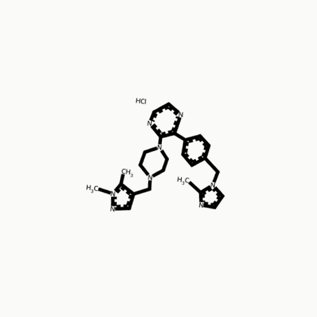 Cc1nccn1Cc1ccc(-c2nccnc2N2CCN(Cc3cnn(C)c3C)CC2)cc1.Cl